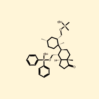 C[C@H]1CC[C@](C)([C@H]2CC[C@]3(C)C(=O)CC[C@H]3[C@@H]2CO[Si](c2ccccc2)(c2ccccc2)C(C)(C)C)[C@@H](CO[Si](C)(C)C(C)(C)C)C1